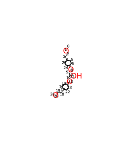 COCCc1ccc(OCC(O)COc2ccc(CCOC)cc2)cc1